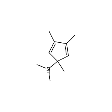 CC1=CC(C)([SiH](C)C)C=C1C